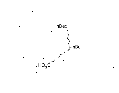 CCCCCCCCCCCCCCCC/C(=C\CCCCCCCC(=O)O)CCCC